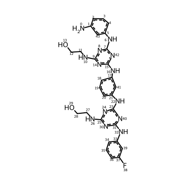 Nc1cccc(Nc2nc(NCCO)nc(Nc3cccc(Nc4nc(NCCO)nc(Nc5cccc(F)c5)n4)c3)n2)c1